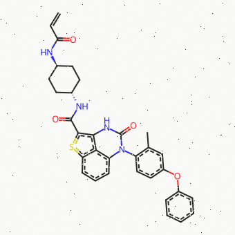 C=CC(=O)N[C@H]1CC[C@H](NC(=O)c2sc3cccc4c3c2NC(=O)N4c2ccc(Oc3ccccc3)cc2C)CC1